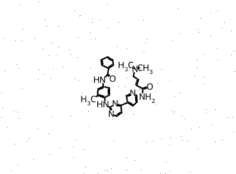 CN(C)C/C=C/C(N)=O.Cc1cc(NC(=O)c2ccccc2)ccc1Nc1nccc(-c2cccnc2)n1